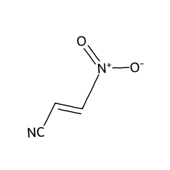 N#C/C=C/[N+](=O)[O-]